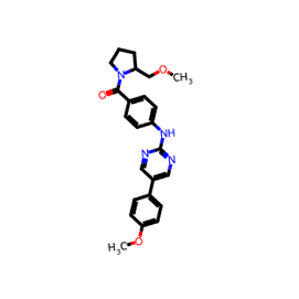 COCC1CCCN1C(=O)c1ccc(Nc2ncc(-c3ccc(OC)cc3)cn2)cc1